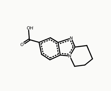 O=C(O)c1ccc2c(c1)nc1n2CCCC1